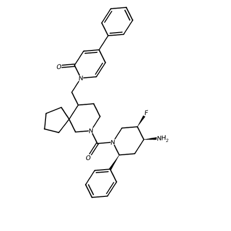 N[C@H]1C[C@@H](c2ccccc2)N(C(=O)N2CCC(Cn3ccc(-c4ccccc4)cc3=O)C3(CCCC3)C2)C[C@H]1F